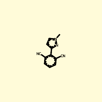 Cn1[c]cc(-c2c(C#N)cccc2C#N)n1